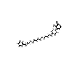 Fc1cccc(C2CCC(C=CCCCCCCCCCCCOCc3ccccc3)CC2)c1F